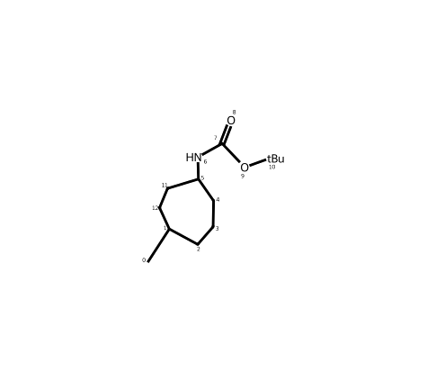 CC1CCCC(NC(=O)OC(C)(C)C)CC1